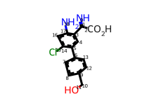 N=C(C(=O)O)c1cc(-c2ccc(CO)cc2)c(Cl)cc1N